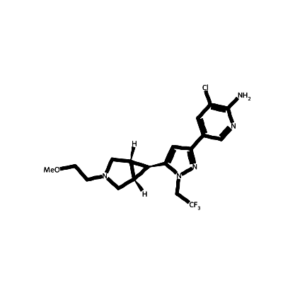 COCCN1C[C@@H]2[C@H](C1)[C@H]2c1cc(-c2cnc(N)c(Cl)c2)nn1CC(F)(F)F